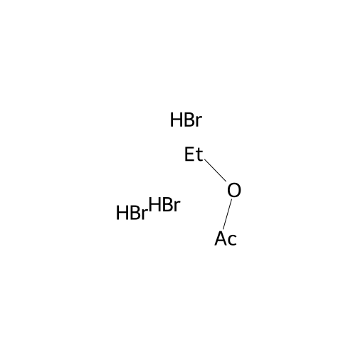 Br.Br.Br.CCOC(C)=O